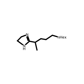 CCCCCCCCCC(C)C1=NCCN1